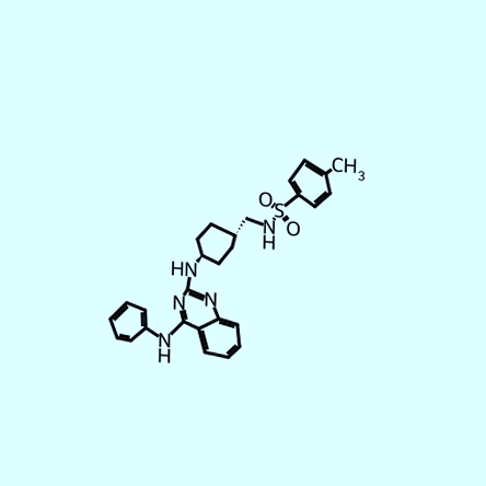 Cc1ccc(S(=O)(=O)NC[C@H]2CC[C@H](Nc3nc(Nc4ccccc4)c4ccccc4n3)CC2)cc1